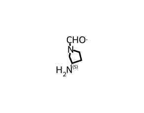 N[C@H]1CCN([C]=O)C1